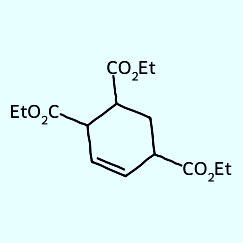 CCOC(=O)C1C=CC(C(=O)OCC)C(C(=O)OCC)C1